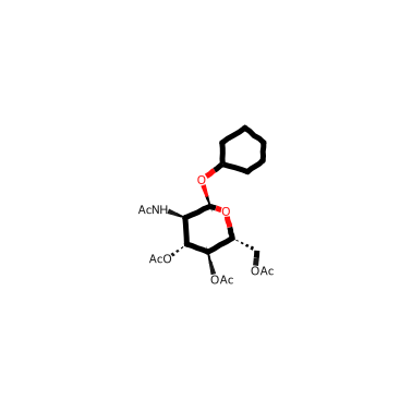 CC(=O)N[C@H]1[C@@H](OC2CCCCC2)O[C@H](COC(C)=O)[C@@H](OC(C)=O)[C@@H]1OC(C)=O